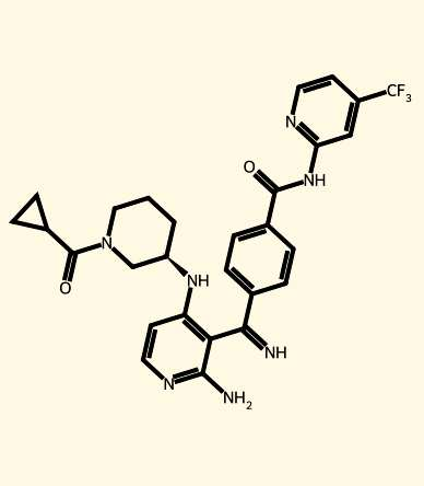 N=C(c1ccc(C(=O)Nc2cc(C(F)(F)F)ccn2)cc1)c1c(N[C@@H]2CCCN(C(=O)C3CC3)C2)ccnc1N